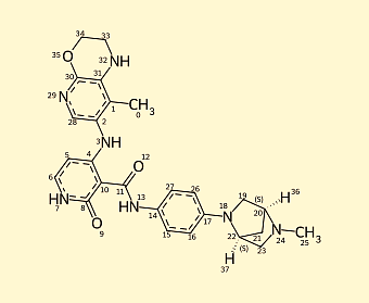 Cc1c(Nc2cc[nH]c(=O)c2C(=O)Nc2ccc(N3C[C@@H]4C[C@H]3CN4C)cc2)cnc2c1NCCO2